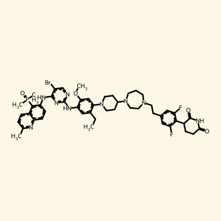 CCc1cc(Nc2ncc(Br)c(Nc3ccc4nc(C)ccc4c3P(C)(C)=O)n2)c(OC)cc1N1CCC(N2CCCN(CCc3cc(F)c(C4CCC(=O)NC4=O)c(F)c3)CC2)CC1